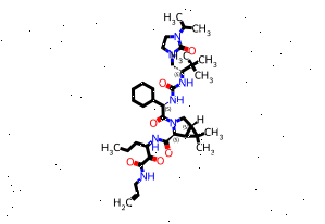 C=CCNC(=O)C(=O)C(CCC)NC(=O)[C@@H]1C2[C@H](CN1C(=O)[C@@H](NC(=O)N[C@H](CN1CCN(C(C)C)C1=O)C(C)(C)C)C1CCCCC1)C2(C)C